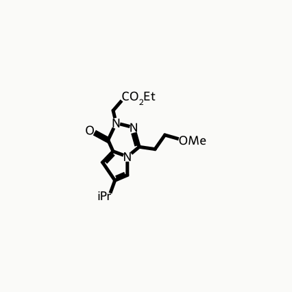 CCOC(=O)Cn1nc(CCOC)n2cc(C(C)C)cc2c1=O